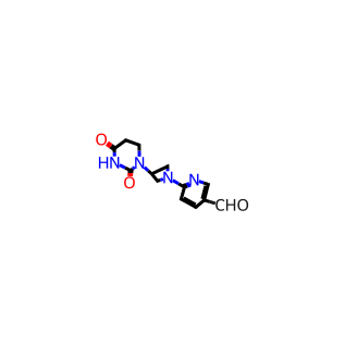 O=Cc1ccc(N2CC(N3CCC(=O)NC3=O)C2)nc1